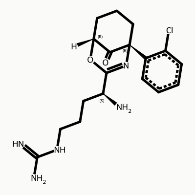 N=C(N)NCCC[C@H](N)C1=N[C@@]2(c3ccccc3Cl)CCC[C@@H](O1)C2=O